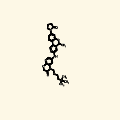 CC1Oc2cc(N3CCCC3=O)ccc2-c2cnc(Nc3cnc4c(c3)N(COCC[Si](C)(C)C)C(=O)CO4)cc21